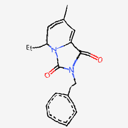 CCC1C=C(C)C=C2C(=O)N(Cc3ccccc3)C(=O)N21